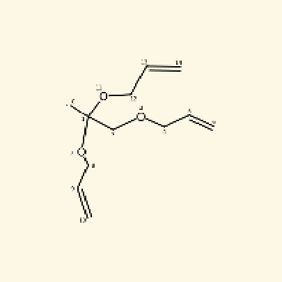 [CH2]C(COCC=C)(OCC=C)OCC=C